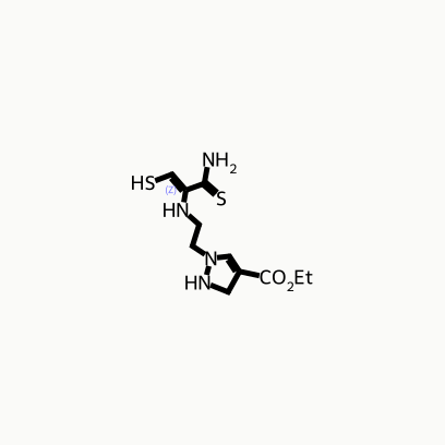 CCOC(=O)C1=CN(CCN/C(=C\S)C(N)=S)NC1